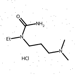 CCN(CCCN(C)C)C(N)=O.Cl